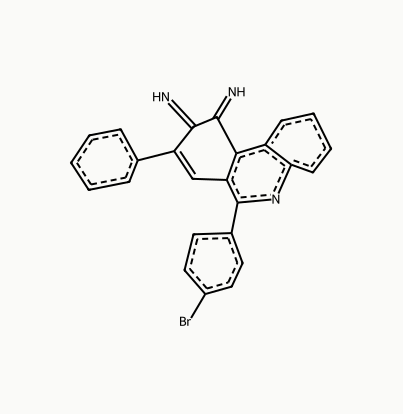 N=C1C(=N)c2c(c(-c3ccc(Br)cc3)nc3ccccc23)C=C1c1ccccc1